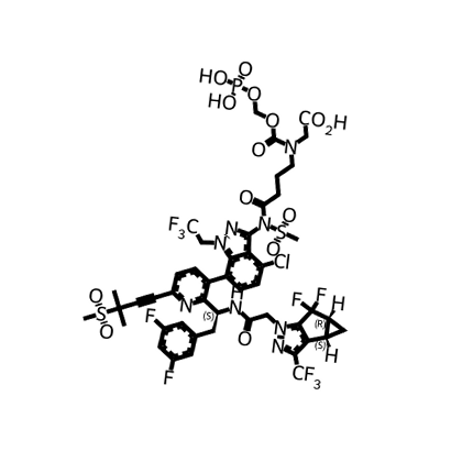 CC(C)(C#Cc1ccc(-c2ccc(Cl)c3c(N(C(=O)CCCN(CC(=O)O)C(=O)OCOP(=O)(O)O)S(C)(=O)=O)nn(CC(F)(F)F)c23)c([C@H](Cc2cc(F)cc(F)c2)NC(=O)Cn2nc(C(F)(F)F)c3c2C(F)(F)[C@@H]2C[C@H]32)n1)S(C)(=O)=O